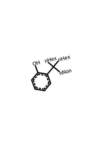 CCCCCCCCCC(CCCCCC)(CCCCCC)c1ccccc1O